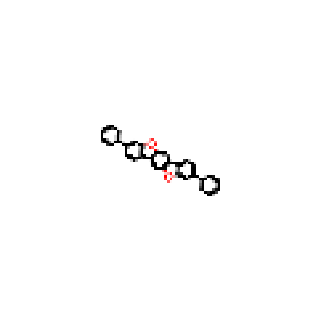 c1ccc(-c2ccc3c(c2)oc2cc4c(cc23)oc2cc(-c3ccccc3)ccc24)cc1